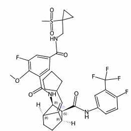 COc1c(F)cc(C(=O)NCC2(S(C)(=O)=O)CC2)cc1C(=O)N[C@H]1[C@@H](C(=O)Nc2ccc(F)c(C(F)(F)F)c2)[C@H]2CC[C@@H]1/C2=C\C1CCCC1